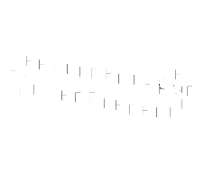 FC(F)(F)C(F)(F)C(F)(F)C(F)(F)C(F)(F)C(F)(F)C(F)(F)C(F)(F)C(F)(F)C(F)(F)C(F)(F)C(F)(F)[Si](F)(F)Cl